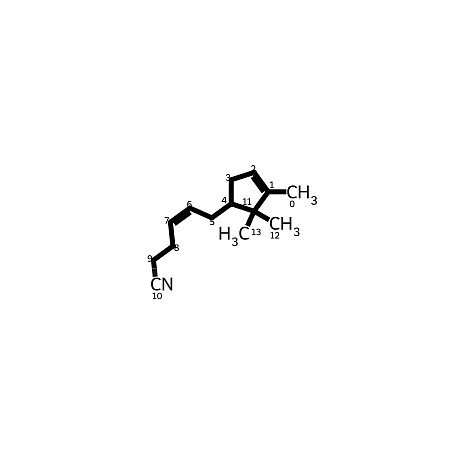 CC1=CCC(C/C=C\CCC#N)C1(C)C